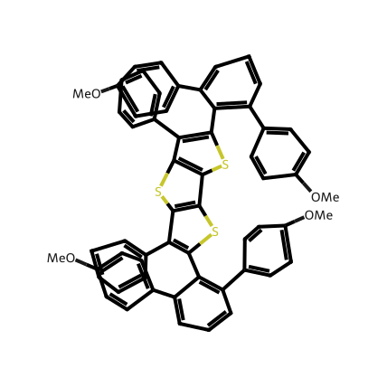 COc1ccc(-c2cccc(-c3ccc(OC)cc3)c2-c2sc3c(sc4c(-c5ccccc5)c(-c5c(-c6ccc(OC)cc6)cccc5-c5ccc(OC)cc5)sc43)c2-c2ccccc2)cc1